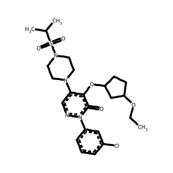 CCOC1CCC(Oc2c(N3CCN(S(=O)(=O)C(C)C)CC3)cnn(-c3cccc(Cl)c3)c2=O)C1